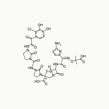 CC(C)(O/N=C(\C(=O)NC1C(=O)N2C[C@@](C(=O)O)(N3CCN(NC(=O)N4CCN(NC(=O)C(=O)c5ccc(O)c(O)c5Cl)C4=O)C3=O)S[C@H]12)c1csc(N)n1)C(=O)O